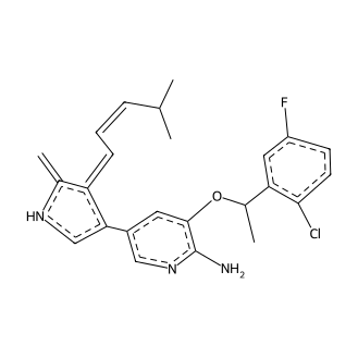 C=c1[nH]cc(-c2cnc(N)c(OC(C)c3cc(F)ccc3Cl)c2)/c1=C/C=C\C(C)C